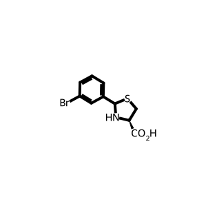 O=C(O)[C@@H]1CSC(c2cccc(Br)c2)N1